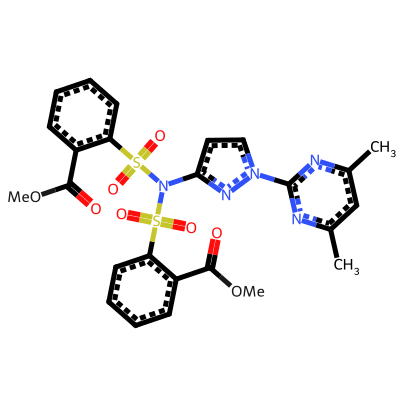 COC(=O)c1ccccc1S(=O)(=O)N(c1ccn(-c2nc(C)cc(C)n2)n1)S(=O)(=O)c1ccccc1C(=O)OC